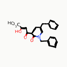 O=C(O)C(O)=CC(=O)c1cc(Cc2ccccc2)cn(Cc2ccccc2)c1=O